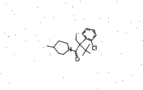 [CH2]CC(C(=O)N1CCC(C)CC1)(c1ccccc1Cl)C(C)(C)C